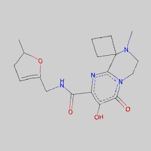 CC1CC=C(CNC(=O)c2nc3n(c(=O)c2O)CCN(C)C32CCC2)O1